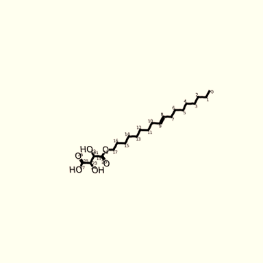 CCCCCCCCC=CCCCCCCCCOC(=O)C(O)C(O)C(=O)O